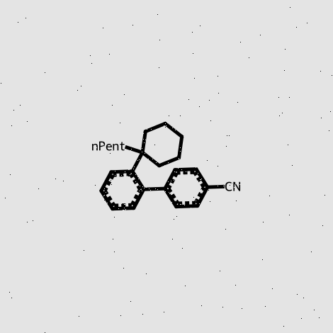 CCCCCC1(c2ccccc2-c2ccc(C#N)cc2)CCCCC1